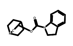 O=C(OC1CN2CCC1CC2)N1CCc2ccccc21